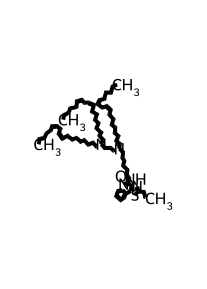 CCCCC/C=C\C/C=C\CCCCCCCCN(CCCCCCCC/C=C\C/C=C\CCCCC)CCCN(CCCCCCCC/C=C\C/C=C\CCCCC)CCCCCC(=O)Nc1nc2ccccc2c2sc(CCC)nc12